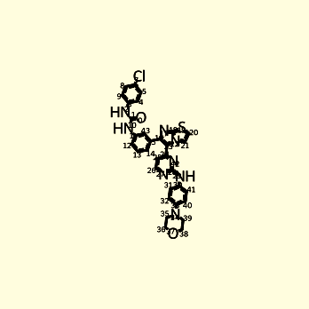 O=C(Nc1ccc(Cl)cc1)Nc1cccc(-c2nc3sccn3c2-c2ccnc(Nc3ccc(N4CCOCC4)cc3)n2)c1